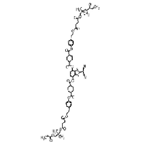 C=CC(=O)CCC(C)(C)COC(=O)CCC(=O)OCCc1ccc(OC(=O)C2CCC(C(=O)Oc3ccc(OC(=O)C4CCC(C(=O)Oc5ccc(CCOC(=O)CCC(=O)OCC(C)(C)COC(=O)C=C)cc5)CC4)c4c3SC(C(C#N)C#N)S4)CC2)cc1